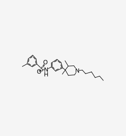 CCCCCCN1CCC(C)(c2cccc(NS(=O)(=O)c3cccc(C)c3)c2)C(C)C1